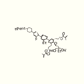 C=C(C)C(=O)OCCCc1cc(-c2ccc(C3CC=C(C4CCC(CCCCC)CC4)C=C3F)cc2CC)cc(CCCOC(=O)C(=C)C)c1OCCC(CC)(CO)CO